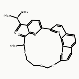 CCCCCCN(CCCCCC)C(=O)c1ccc2nc1C(=O)N(CCCCCC)CCCCCCc1ccc3ccc4ccc-2nc4c3n1